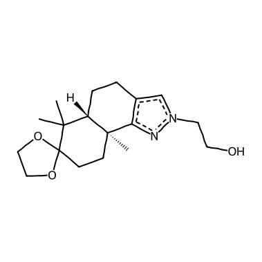 CC1(C)[C@@H]2CCc3cn(CCO)nc3[C@@]2(C)CCC12OCCO2